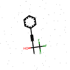 CC(O)(C#Cc1ccccc1)C(F)(F)F